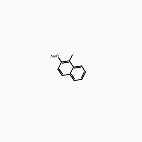 COc1ccc2c[c]ccc2c1I